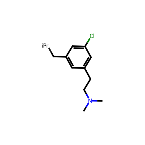 CC(C)Cc1cc(Cl)cc(CCN(C)C)c1